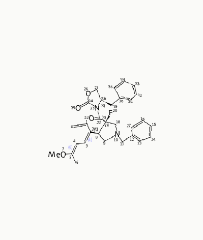 C=C/C(=C\C=C(/C)OC)[C@@H]1CN(Cc2ccccc2)C[C@@]1(F)C(=O)N1C(=O)OC[C@H]1Cc1ccccc1